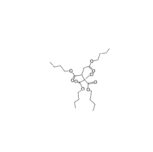 CCCCOC(=O)CC(C(=O)OCCCC)C(Cl)(C(=O)OCCCC)C(=O)OCCCC